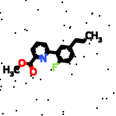 CC=Cc1ccc(F)c(-c2cccc(C(=O)OC)n2)c1